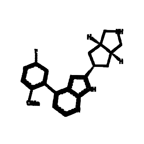 COc1ccc(F)cc1-c1ccnc2[nH]c([C@@H]3C[C@H]4CNC[C@H]4C3)cc12